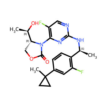 C[C@H](Nc1ncc(F)c(N2C(=O)OC[C@@H]2[C@@H](C)O)n1)c1ccc(C2(C)CC2)cc1F